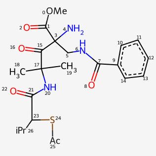 COC(=O)C(N)(CNC(=O)c1ccccc1)C(=O)C(C)(C)NC(=O)C(SC(C)=O)C(C)C